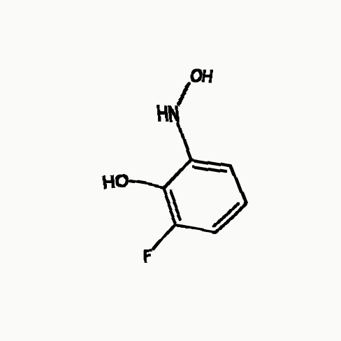 ONc1cccc(F)c1O